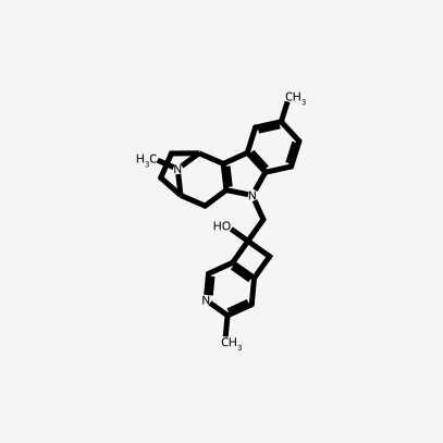 Cc1ccc2c(c1)c1c(n2CC2(O)Cc3cc(C)ncc32)CC2CCC1N2C